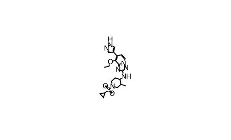 CCOc1c(-c2cn[nH]c2)ccn2nc(NC3CCN(S(=O)(=O)C4CC4)CC3C)nc12